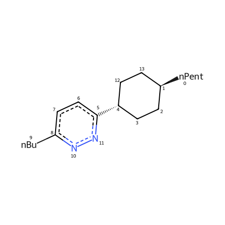 CCCCC[C@H]1CC[C@H](c2ccc(CCCC)nn2)CC1